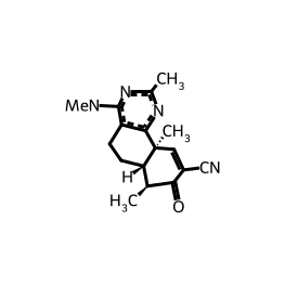 CNc1nc(C)nc2c1CC[C@H]1[C@H](C)C(=O)C(C#N)=C[C@]21C